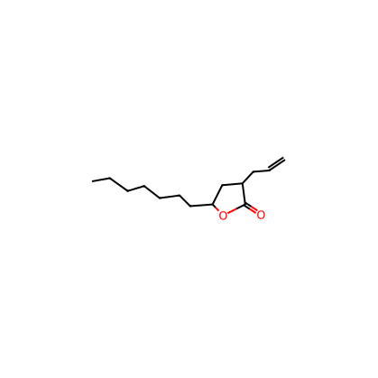 C=CCC1CC(CCCCCCC)OC1=O